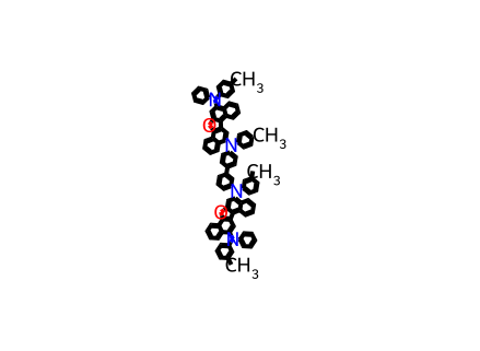 Cc1ccc(N(c2ccc(-c3cccc(N(c4cccc(C)c4)c4cc5oc6c7ccccc7c(N(c7ccccc7)c7cccc(C)c7)cc6c5c5ccccc45)c3)cc2)c2cc3c(oc4cc(N(c5ccccc5)c5ccc(C)cc5)c5ccccc5c43)c3ccccc23)cc1